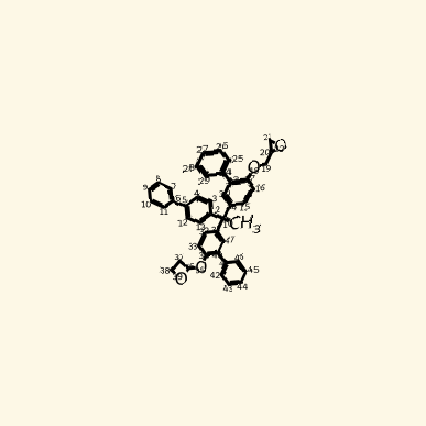 CC(c1ccc(-c2ccccc2)cc1)(c1ccc(OCC2CO2)c(-c2ccccc2)c1)c1ccc(OC2CCO2)c(-c2ccccc2)c1